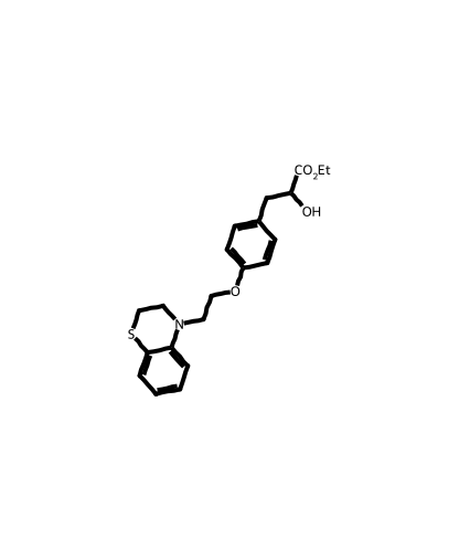 CCOC(=O)C(O)Cc1ccc(OCCN2CCSc3ccccc32)cc1